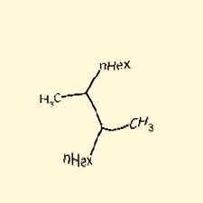 CCCCCC[C](C)C(C)CCCCCC